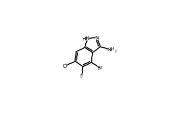 Nc1n[nH]c2cc(Cl)c(F)c(Br)c12